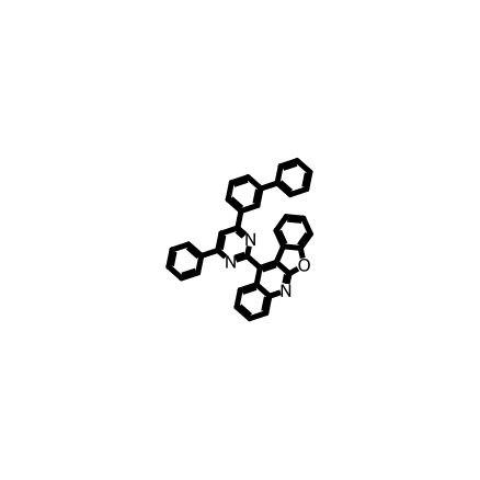 c1ccc(-c2cccc(-c3cc(-c4ccccc4)nc(-c4c5ccccc5nc5oc6ccccc6c45)n3)c2)cc1